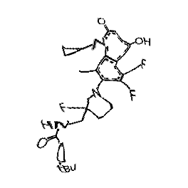 Cc1c(N2CCC(F)(CNC(=O)OC(C)(C)C)C2)c(F)c(F)c2c(O)cc(=O)n(C3CC3)c12